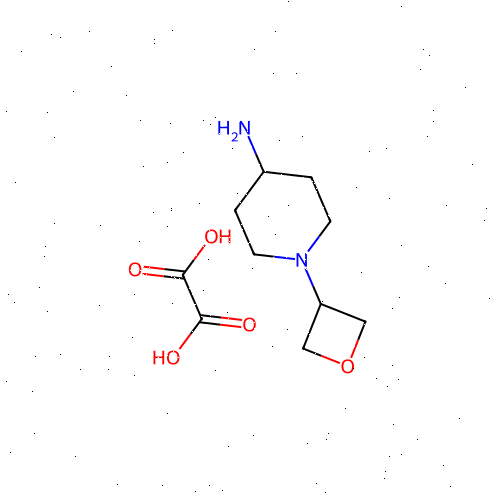 NC1CCN(C2COC2)CC1.O=C(O)C(=O)O